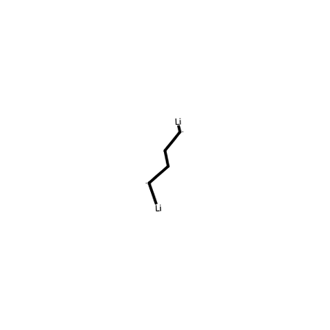 [Li][CH]CC[CH][Li]